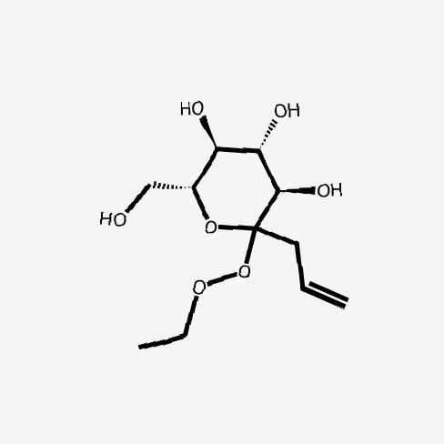 C=CCC1(OOCC)O[C@H](CO)[C@@H](O)[C@H](O)[C@H]1O